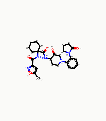 Cc1cc(C(=O)NC2(C(=O)NC3CCN(c4ccccc4N4CCCC4=O)CC3=O)CCCCC2)no1